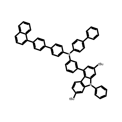 CC(C)(C)c1ccc2c3c(-c4cccc(N(c5ccc(-c6ccccc6)cc5)c5ccc(-c6ccc(-c7cccc8ccccc78)cc6)cc5)c4)cc(C(C)(C)C)cc3n(-c3ccccc3)c2c1